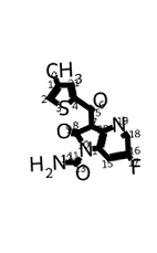 Cc1csc(C(=O)C2C(=O)N(C(N)=O)c3cc(F)cnc32)c1